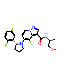 C[C@@H](CO)NC(=O)c1cnn2ccc(N3CCC[C@@H]3c3cc(F)ccc3F)c(F)c12